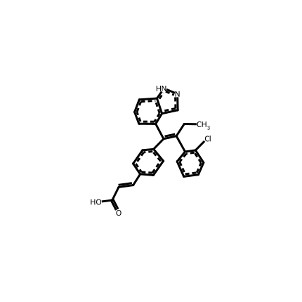 CCC(=C(c1ccc(C=CC(=O)O)cc1)c1cccc2[nH]ncc12)c1ccccc1Cl